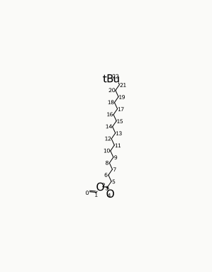 C=COC(=O)CCCCCCCCCCCCCCCCCC(C)(C)C